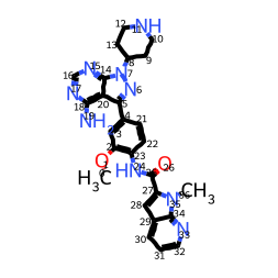 COc1cc(-c2nn(C3CCNCC3)c3ncnc(N)c23)ccc1NC(=O)c1cc2cccnc2n1C